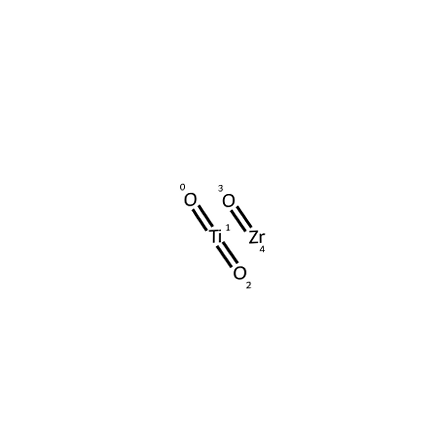 [O]=[Ti]=[O].[O]=[Zr]